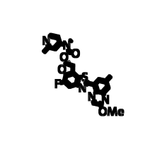 COc1cnc2c(-c3nc4cc(F)c5c(c4s3)C[C@@H](OC(=O)N(C)c3ccnc(C)c3)O5)cc(C)cc2n1